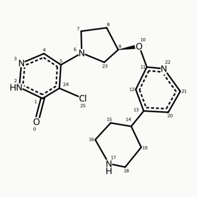 O=c1[nH]ncc(N2CC[C@@H](Oc3cc(C4CCNCC4)ccn3)C2)c1Cl